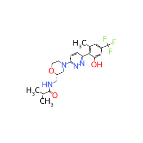 Cc1cc(C(F)(F)F)cc(O)c1-c1ccc(N2CCO[C@@H](CNC(=O)C(C)C)C2)nn1